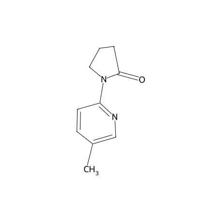 Cc1ccc(N2CCCC2=O)nc1